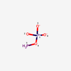 [O-][I+3]([O-])([O-])OP